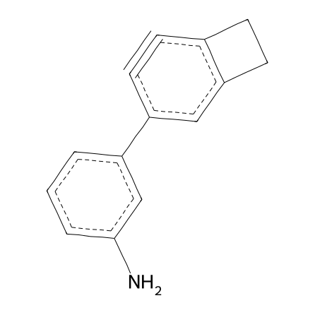 Nc1cccc(-c2c#cc3c(c2)CC3)c1